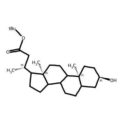 C[C@H](CC(=O)OC(C)(C)C)C1CCC2C3CCC4C[C@H](O)CC[C@]4(C)C3CC[C@@]21C